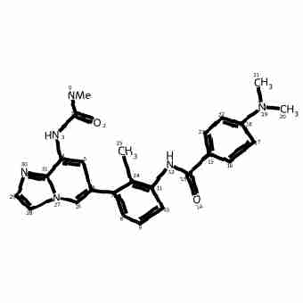 CNC(=O)Nc1cc(-c2cccc(NC(=O)c3ccc(N(C)C)cc3)c2C)cn2ccnc12